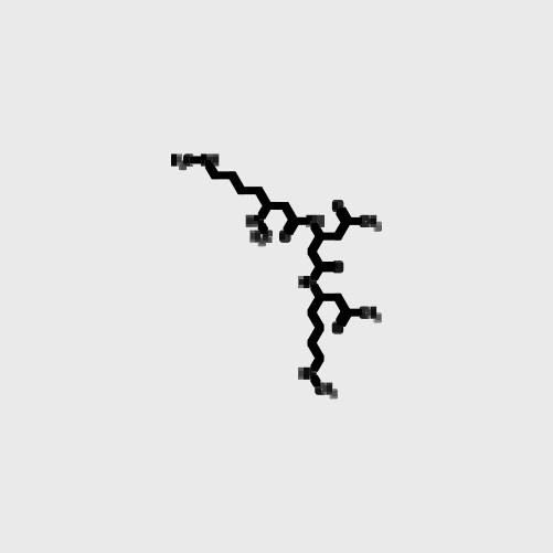 CNCCCCC(CC(=O)NC(CC(C)=O)CC(=O)NC(CCCCNC)CC(C)=O)NC